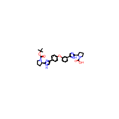 CC(C)(C)OC(=O)N1CCCC1c1nc(-c2ccc(Oc3cccc(-c4cnc(C5CCCN5C(=O)O)[nH]4)c3)cc2)c[nH]1